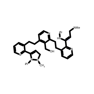 CNC/C=C(\NC(C)C)c1ncccc1CCc1nccc(CCc2cccnc2C2=CCN(C)N2C(C)C)c1CO